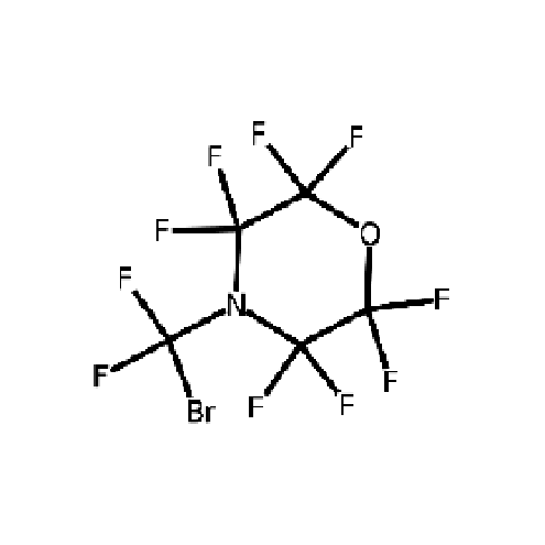 FC(F)(Br)N1C(F)(F)C(F)(F)OC(F)(F)C1(F)F